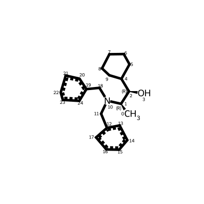 C[C@H]([C@H](O)C1CCCCC1)N(Cc1ccccc1)Cc1ccccc1